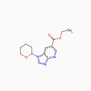 CCOC(=O)c1cnc2ncn(C3CCCCO3)c2c1